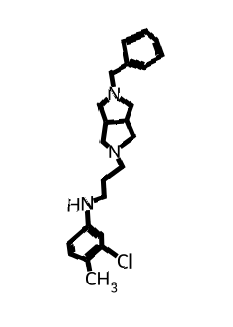 Cc1ccc(NCCCN2CC3CN(Cc4ccccc4)CC3C2)cc1Cl